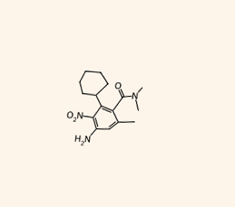 Cc1cc(N)c([N+](=O)[O-])c(C2CCCCC2)c1C(=O)N(C)C